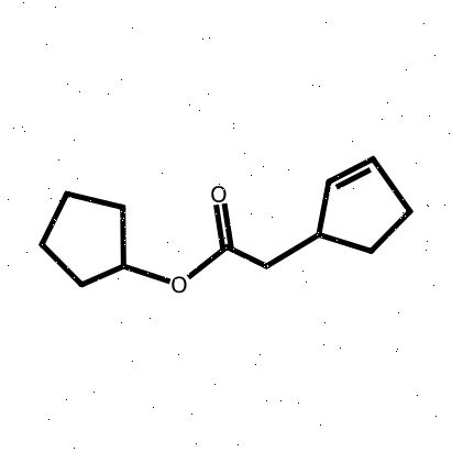 O=C(CC1C=CCC1)OC1CCCC1